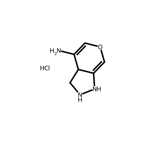 Cl.NC1=COC=C2NNCC12